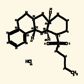 CCCCS(=O)(=O)N1CCC[C@@H]2CN3CCc4ccccc4[C@H]3C[C@@H]21.Cl